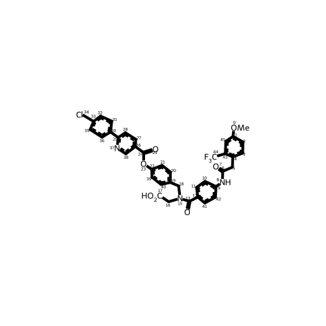 COc1ccc(CC(=O)Nc2ccc(C(=O)N(CC(=O)O)Cc3ccc(OC(=O)c4ccc(-c5ccc(Cl)cc5)nc4)cc3)cc2)c(C(F)(F)F)c1